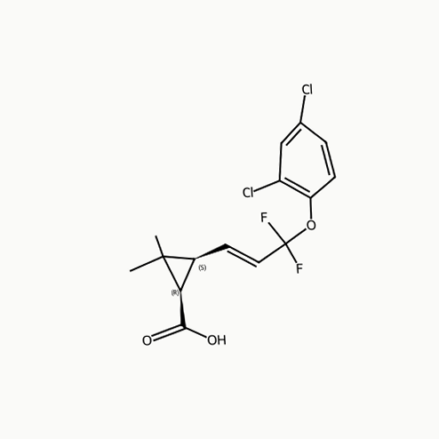 CC1(C)[C@H](C(=O)O)[C@@H]1C=CC(F)(F)Oc1ccc(Cl)cc1Cl